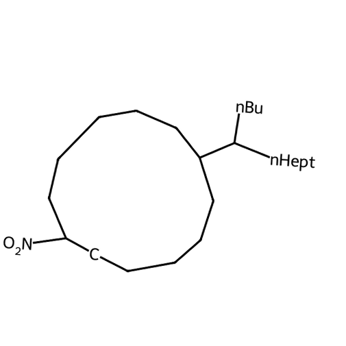 CCCCCCCC(CCCC)C1CCCCCC([N+](=O)[O-])CCCCC1